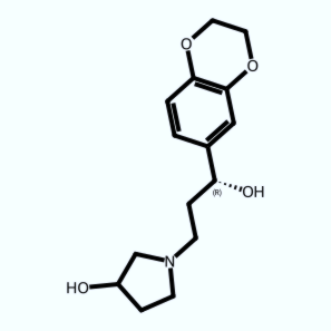 OC1CCN(CC[C@@H](O)c2ccc3c(c2)OCCO3)C1